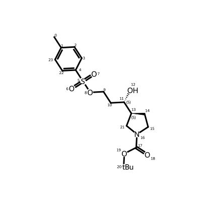 Cc1ccc(S(=O)(=O)OCC[C@H](O)[C@H]2CCN(C(=O)OC(C)(C)C)C2)cc1